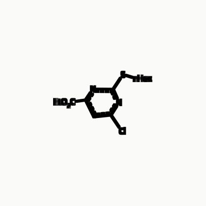 CCCCCCSc1nc(Cl)cc(C(=O)OCC)n1